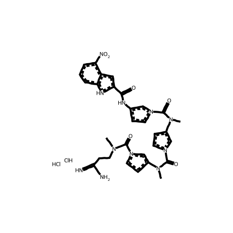 CN(CCC(=N)N)C(=O)n1ccc(N(C)C(=O)n2ccc(N(C)C(=O)n3ccc(NC(=O)c4cc5c([N+](=O)[O-])cccc5[nH]4)c3)c2)c1.Cl.Cl